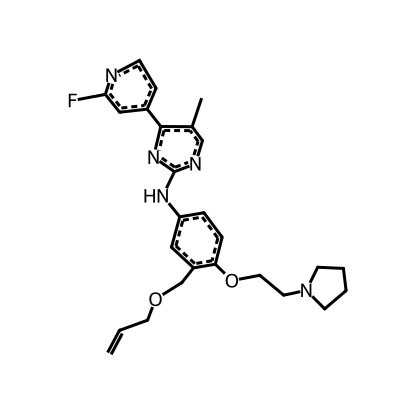 C=CCOCc1cc(Nc2ncc(C)c(-c3ccnc(F)c3)n2)ccc1OCCN1CCCC1